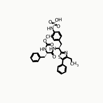 CCc1nc([C@H](Cc2ccc(NS(=O)(=O)O)cc2)NC(=O)[C@H](Cc2ccccc2)NC(=O)OC)sc1-c1ccccc1